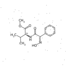 COC(=O)[C@@H](NC(=O)C(=NO)c1ccccc1)C(C)C